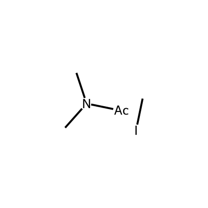 CC(=O)N(C)C.CI